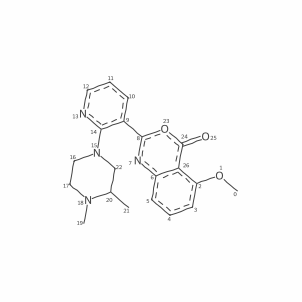 COc1cccc2nc(-c3cccnc3N3CCN(C)C(C)C3)oc(=O)c12